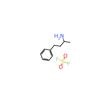 CC(N)CCc1ccccc1.O=S(=O)(F)F